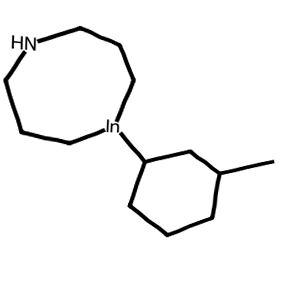 CC1CCC[CH]([In]2[CH2]CCNCC[CH2]2)C1